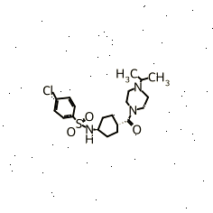 CC(C)N1CCN(C(=O)[C@H]2CC[C@H](NS(=O)(=O)c3ccc(Cl)cc3)CC2)CC1